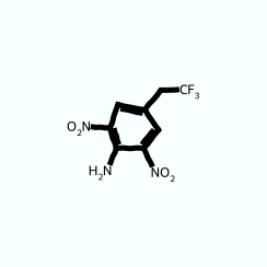 Nc1c([N+](=O)[O-])cc(CC(F)(F)F)cc1[N+](=O)[O-]